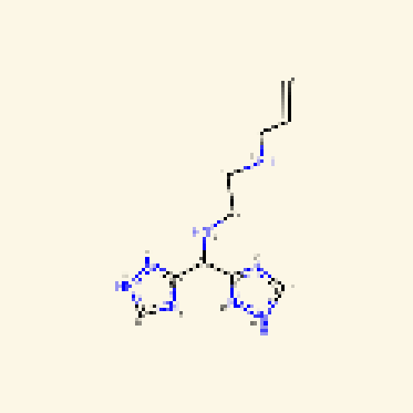 C=CCNCCNC(c1nc[nH]n1)c1nc[nH]n1